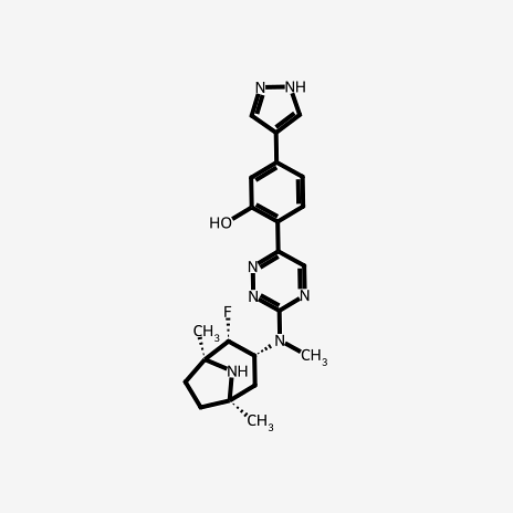 CN(c1ncc(-c2ccc(-c3cn[nH]c3)cc2O)nn1)[C@@H]1C[C@@]2(C)CC[C@](C)(N2)[C@@H]1F